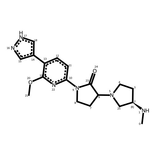 CN[C@@H]1CCN(C2CCN(c3ccc(-c4cn[nH]c4)c(OC)n3)C2=O)C1